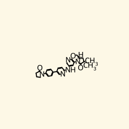 CC1(C)C[C@H]2COc3ncc(Nc4ccc(-c5ccc(N6CCCC6=O)cc5)cn4)cc3N2C1=O